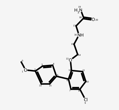 COc1ccc(-c2cc(Cl)ccc2OCCNCC(N)=O)cc1